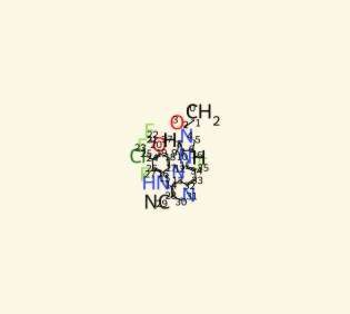 C=CC(=O)N1C[C@@H]2C[C@H]1CN2c1nc2c(Nc3ccc(OC(F)F)c(Cl)c3F)c(C#N)cnc2cc1F